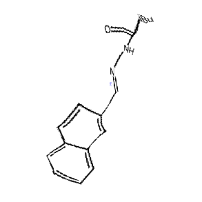 CCC(C)C(=O)N/N=C/c1ccc2ccccc2c1